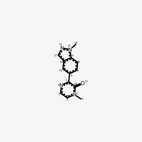 Cn1ccnc(-c2ccc3c(cnn3C)c2)c1=O